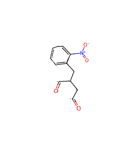 O=[C]CC([C]=O)Cc1ccccc1[N+](=O)[O-]